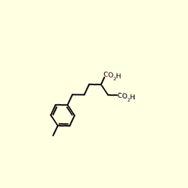 Cc1ccc(CCCC(CC(=O)O)C(=O)O)cc1